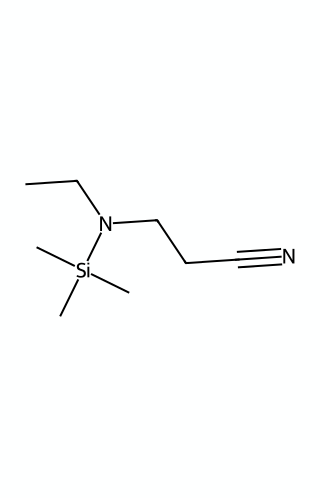 CCN(CCC#N)[Si](C)(C)C